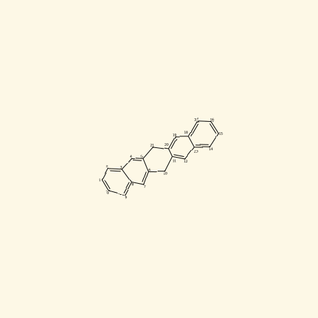 [c]1ccc2cc3c(cc2c1)Cc1cc2cc[c]cc2cc1C3